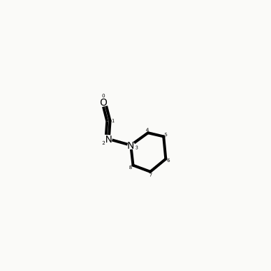 O=C=NN1CCCCC1